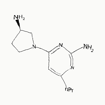 CCCc1cc(N2CC[C@@H](N)C2)nc(N)n1